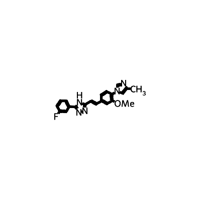 COc1cc(C=Cc2nnc(-c3cccc(F)c3)[nH]2)ccc1-n1cnc(C)c1